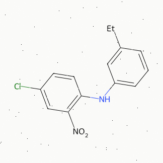 CCc1[c]ccc(Nc2ccc(Cl)cc2[N+](=O)[O-])c1